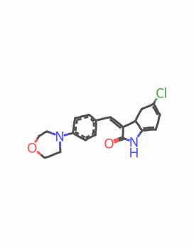 O=C1NC2=CC=C(Cl)CC2C1=Cc1ccc(N2CCOCC2)cc1